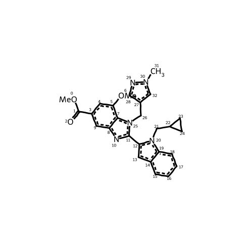 COC(=O)c1cc(OC)c2c(c1)nc(-c1cc3ccccc3n1CC1CC1)n2Cc1cnn(C)c1